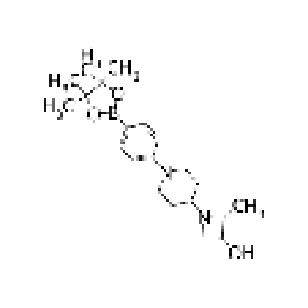 CC1C(O)CN1C1CCN(c2ccc(B3OC(C)(C)C(C)(C)O3)cc2)CC1